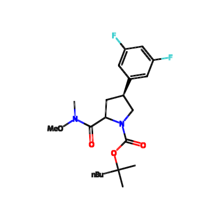 CCCCC(C)(C)OC(=O)N1C[C@H](c2cc(F)cc(F)c2)CC1C(=O)N(C)OC